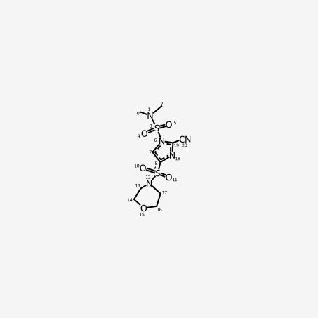 CN(C)S(=O)(=O)n1cc(S(=O)(=O)N2CCOCC2)nc1C#N